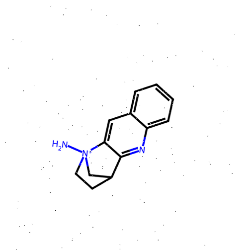 N[N+]12CCC(C1)c1nc3ccccc3cc12